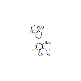 C=CNc1c(C#N)c(F)cc(-c2ccc(CCCC)c(/N=C\C)c2)c1C(C)CC